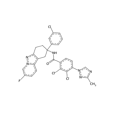 Cc1ncn(-c2ccc(C(=O)NC3(c4cccc(Cl)c4)CCc4nn5cc(F)ccc5c4C3)c(Cl)c2Cl)n1